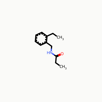 CCC(=O)NCc1ccccc1CC